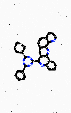 c1ccc(-c2nc(-c3ccccc3)nc(-c3nc4ccccc4c4nc5c(ccc6cccnc65)cc34)n2)cc1